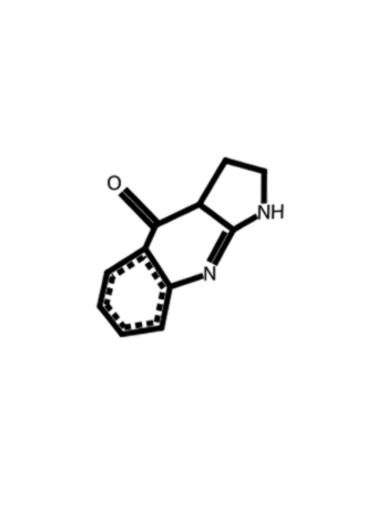 O=C1c2ccccc2N=C2NCCC12